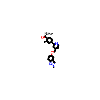 CNC(=O)c1ccc(-c2cc(COc3ccc4nn(C)cc4c3)ccn2)cc1C